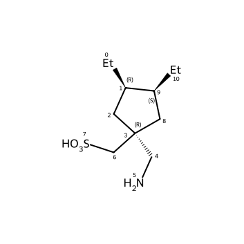 CC[C@@H]1C[C@](CN)(CS(=O)(=O)O)C[C@@H]1CC